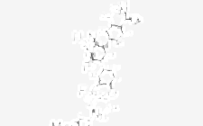 COCCN1CCC(Oc2ccc(-c3cc(-c4ccc5c(c4)CCNC5=O)c(N)nc3F)cc2C(F)(F)F)CC1